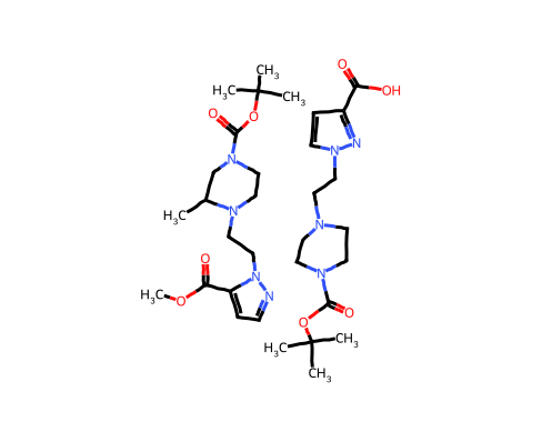 CC(C)(C)OC(=O)N1CCN(CCn2ccc(C(=O)O)n2)CC1.COC(=O)c1ccnn1CCN1CCN(C(=O)OC(C)(C)C)CC1C